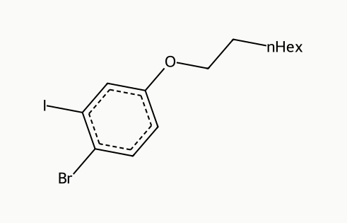 CCCCCCCCOc1ccc(Br)c(I)c1